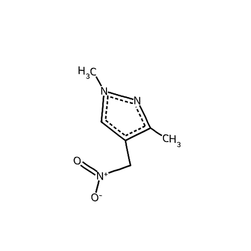 Cc1nn(C)cc1C[N+](=O)[O-]